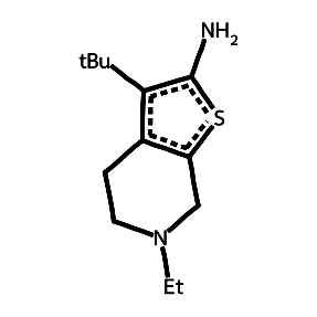 CCN1CCc2c(sc(N)c2C(C)(C)C)C1